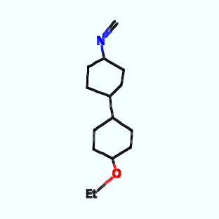 C=NC1CCC(C2CCC(OCC)CC2)CC1